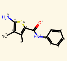 Cc1c(C(=O)Nc2ccccc2)sc(N)c1C#N